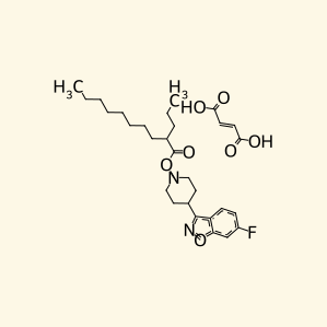 CCCCCCCCC(CCC)C(=O)ON1CCC(c2noc3cc(F)ccc23)CC1.O=C(O)C=CC(=O)O